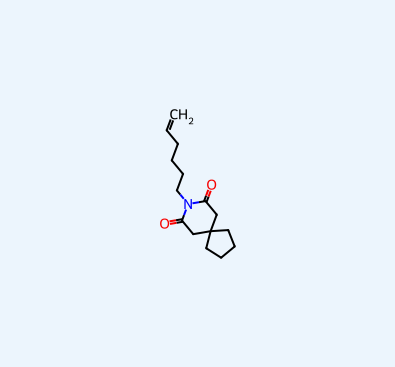 C=CCCCCN1C(=O)CC2(CCCC2)CC1=O